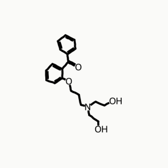 O=C(c1ccccc1)c1ccccc1OCCCN(CCO)CCO